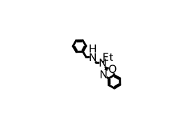 CCN(CNCc1ccccc1)c1nc2ccccc2o1